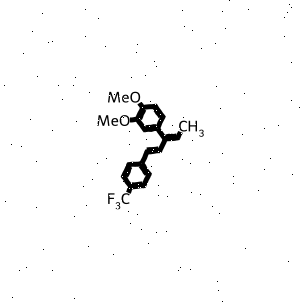 CC=C(C=Cc1ccc(C(F)(F)F)cc1)c1ccc(OC)c(OC)c1